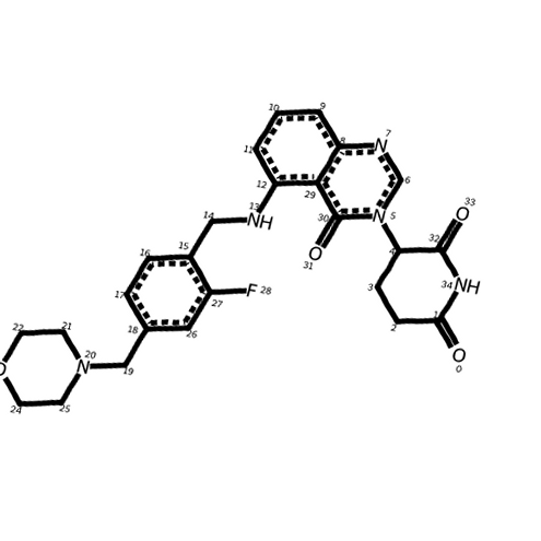 O=C1CCC(n2cnc3cccc(NCc4ccc(CN5CCOCC5)cc4F)c3c2=O)C(=O)N1